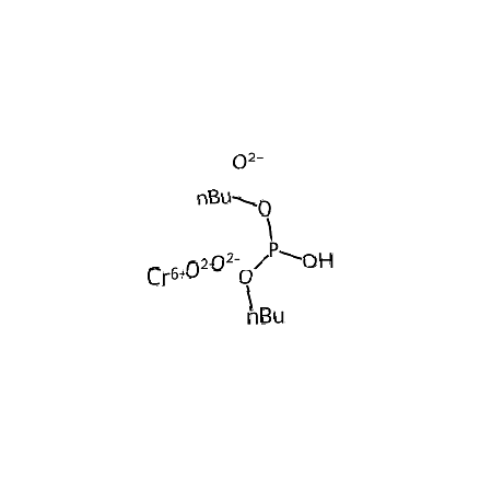 CCCCOP(O)OCCCC.[Cr+6].[O-2].[O-2].[O-2]